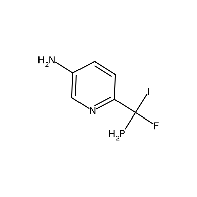 Nc1ccc(C(F)(P)I)nc1